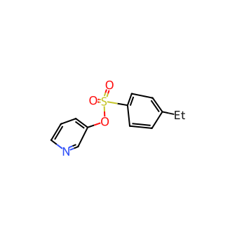 CCc1ccc(S(=O)(=O)Oc2cccnc2)cc1